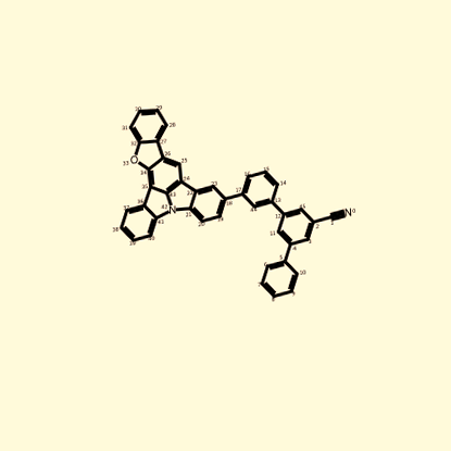 N#Cc1cc(-c2ccccc2)cc(-c2cccc(-c3ccc4c(c3)c3cc5c6ccccc6oc5c5c6ccccc6n4c35)c2)c1